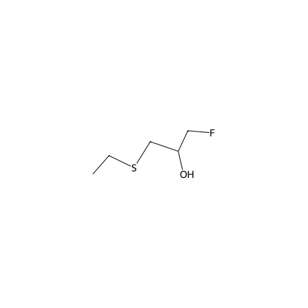 CCSCC(O)CF